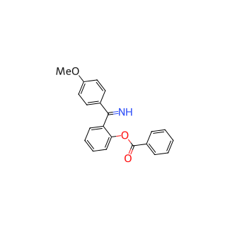 COc1ccc(C(=N)c2ccccc2OC(=O)c2ccccc2)cc1